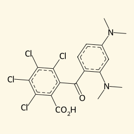 CN(C)c1ccc(C(=O)c2c(Cl)c(Cl)c(Cl)c(Cl)c2C(=O)O)c(N(C)C)c1